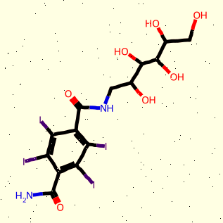 NC(=O)c1c(I)c(I)c(C(=O)NCC(O)C(O)C(O)C(O)CO)c(I)c1I